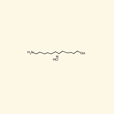 Cl.NCCCCCCCCCCCCO.[N]